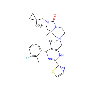 CCOC(=O)C1=C(CN2CCN3C(=O)N(CC4(C(=O)O)CC4)CC3(C)C2)NC(c2nccs2)=NC1c1cccc(F)c1C